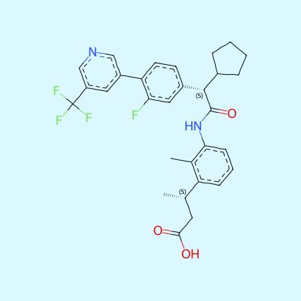 Cc1c(NC(=O)[C@H](c2ccc(-c3cncc(C(F)(F)F)c3)c(F)c2)C2CCCC2)cccc1[C@@H](C)CC(=O)O